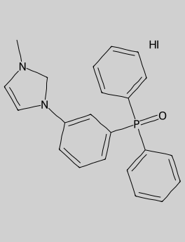 CN1C=CN(c2cccc(P(=O)(c3ccccc3)c3ccccc3)c2)C1.I